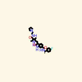 Cc1[nH]c(C=C2C(=O)Nc3cc(C(=O)N[C@H](C)c4ccc(F)cc4)ccc32)c(C)c1C(=O)NCCN1CCCC1